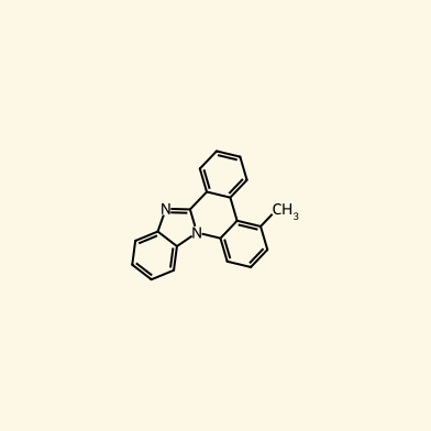 Cc1cccc2c1c1ccccc1c1nc3ccccc3n21